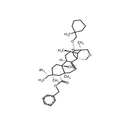 CC(C)[C@@H](C)[C@@]1(C)CC[C@]2(C)[C@H]3CC[C@@H]4[C@@]5(COC[C@]4(C)[C@@H](OCC4(C)CCCCC4)[C@H](C)C5)C3=CC[C@@]2(C)[C@@H]1C(=O)OCc1ccccc1